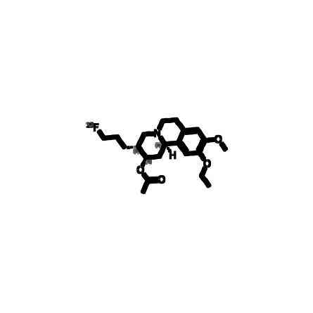 CCOc1cc2c(cc1OC)CCN1C[C@@H](CCC[19F])[C@H](OC(C)=O)C[C@H]21